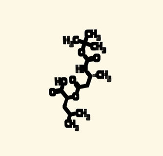 CC(C)C[C@H](OC(=O)C[C@@H](C)NC(=O)OC(C)(C)C)C(=O)O